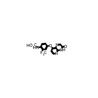 O=C(O)Nc1ccc(Oc2ccnc3[nH]c(=O)cnc23)cc1C(F)(F)F